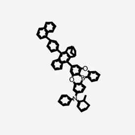 CC1CC=CC=C1N(c1ccccc1)c1ccc2c(c1)Oc1cc(-c3c4c(c(-c5ccc(-c6cccc7ccccc67)cc5)c5ccccc35)C=C3CC4C3)cc3c1B2c1ccccc1O3